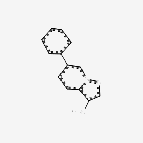 CNc1cnn2cc(-c3ccccc3)ccc12